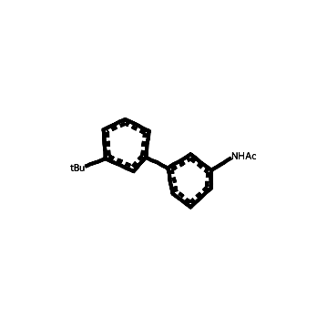 CC(=O)Nc1cccc(-c2cccc(C(C)(C)C)c2)c1